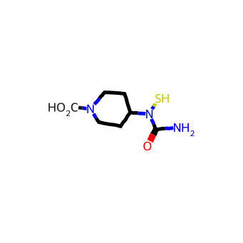 NC(=O)N(S)C1CCN(C(=O)O)CC1